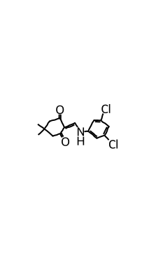 CC1(C)CC(=O)C(=CNc2cc(Cl)cc(Cl)c2)C(=O)C1